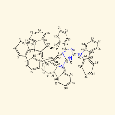 c1ccc(C2(c3ccccc3)c3ccccc3-c3c(-c4ccccc4-c4nc(-n5c6ccccc6c6ccccc65)nc(-n5c6ccccc6c6ccccc65)n4)cccc32)cc1